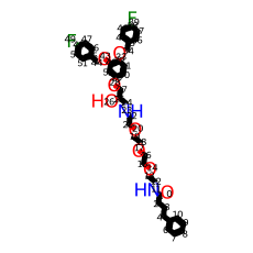 O=C(CCCc1ccccc1)NCCOCCOCCOCCNCC(O)COc1ccc(OCc2ccc(F)cc2)c(OCc2ccc(F)cc2)c1